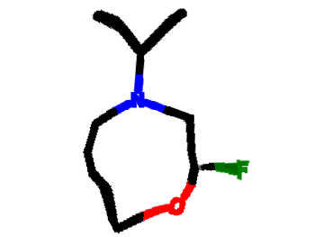 CC(C)N1CCCO[C@@H](F)C1